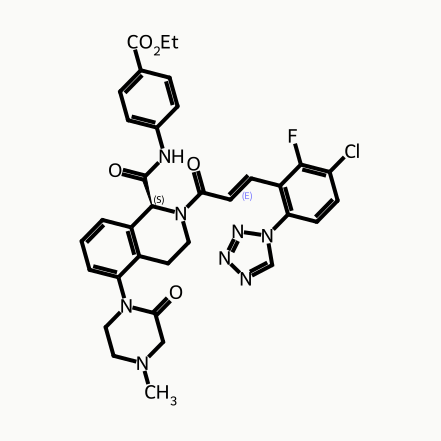 CCOC(=O)c1ccc(NC(=O)[C@@H]2c3cccc(N4CCN(C)CC4=O)c3CCN2C(=O)/C=C/c2c(-n3cnnn3)ccc(Cl)c2F)cc1